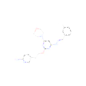 Cc1cccc(C=NNc2cc(N3CCOCC3)nc(OCCc3ccc(N)nc3)n2)c1